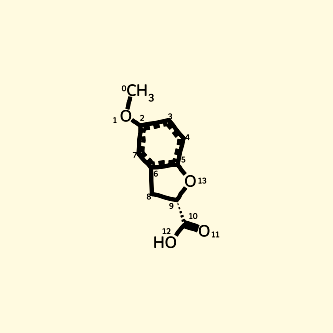 COc1ccc2c(c1)C[C@@H](C(=O)O)O2